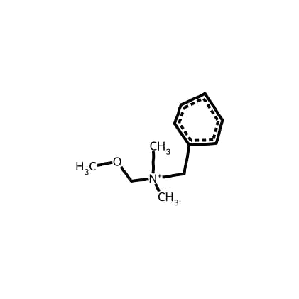 COC[N+](C)(C)Cc1ccccc1